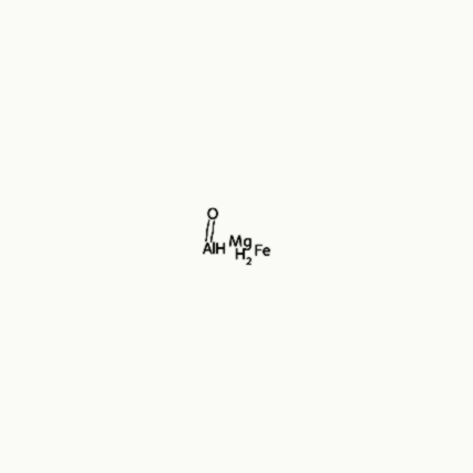 [Fe].[MgH2].[O]=[AlH]